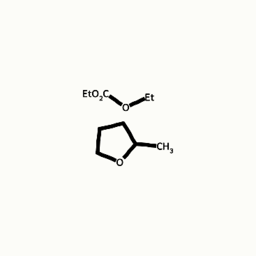 CC1CCCO1.CCOC(=O)OCC